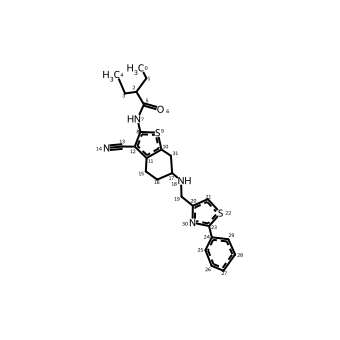 CCC(CC)C(=O)Nc1sc2c(c1C#N)CCC(NCc1csc(-c3ccccc3)n1)C2